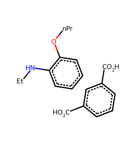 CCCOc1ccccc1NCC.O=C(O)c1cccc(C(=O)O)c1